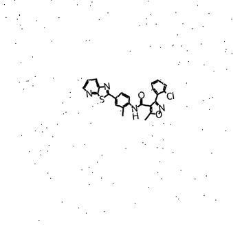 Cc1cc(-c2nc3cccnc3s2)ccc1NC(=O)c1c(-c2ccccc2Cl)noc1C